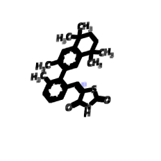 Cc1cc2c(cc1-c1c(C)cccc1/C=C1/SC(=O)NC1=O)C(C)(C)CCC2(C)C